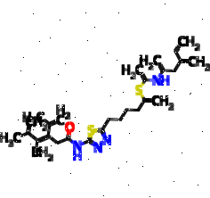 B/C(C(=C)C)=C(\CC(=O)Nc1nnc(CCCCC(=C)SC(=C)NC(=C)CC(=C)C=C)s1)C(=C)C